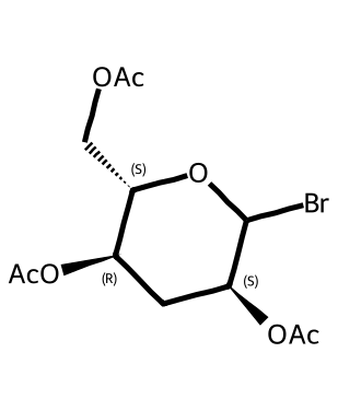 CC(=O)OC[C@@H]1OC(Br)[C@@H](OC(C)=O)C[C@H]1OC(C)=O